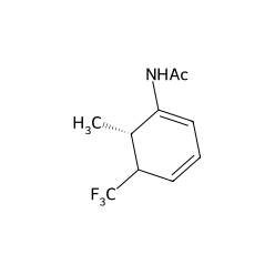 CC(=O)NC1=CC=CC(C(F)(F)F)[C@@H]1C